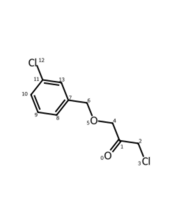 O=C(CCl)COCc1cccc(Cl)c1